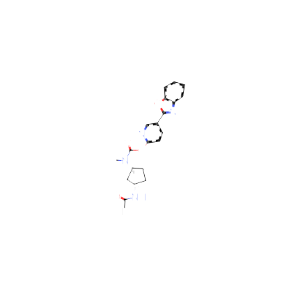 CCC(=O)N[C@H]1CC[C@@H](N(C)C(=O)Oc2ccc(-c3nc4ccccc4o3)cn2)C1